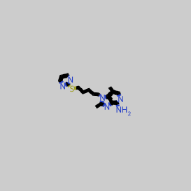 Cc1cnc(N)c2nc(C)n(CCCCCSc3ncccn3)c12